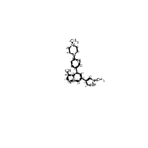 CN1CCN(c2ccc(-c3cc(C4=CN(C)NC4)cn4ncc(C#N)c34)cn2)CC1